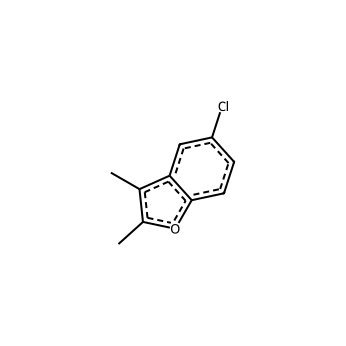 Cc1oc2ccc(Cl)cc2c1C